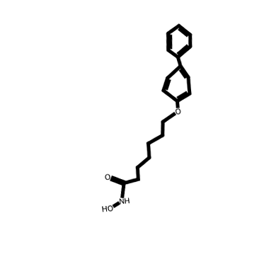 O=C(CCCCCCOc1ccc(-c2ccccc2)cc1)NO